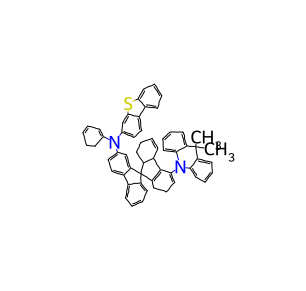 CC1(C)c2ccccc2N(C2=CCCC3=C2C2C=CCCC2C32c3ccccc3-c3ccc(N(C4=CC=CCC4)c4ccc5c(c4)sc4ccccc45)cc32)c2ccccc21